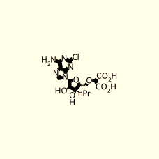 CCC[C@@]1(O)[C@@H](COC(C(=O)O)C(=O)O)O[C@@H](n2cnc3c(N)nc(Cl)nc32)[C@@H]1O